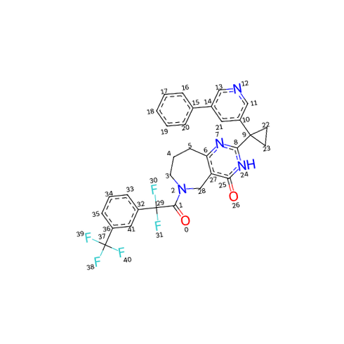 O=C(N1CCCc2nc(C3(c4cncc(-c5ccccc5)c4)CC3)[nH]c(=O)c2C1)C(F)(F)c1cccc(C(F)(F)F)c1